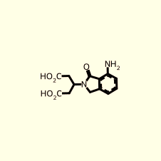 Nc1cccc2c1C(=O)N(C(CC(=O)O)CC(=O)O)C2